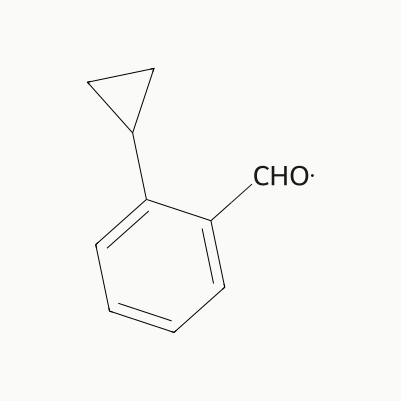 O=[C]c1ccccc1C1CC1